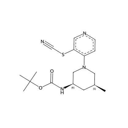 C[C@H]1C[C@@H](NC(=O)OC(C)(C)C)CN(c2ccncc2SC#N)C1